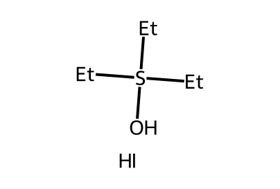 CCS(O)(CC)CC.I